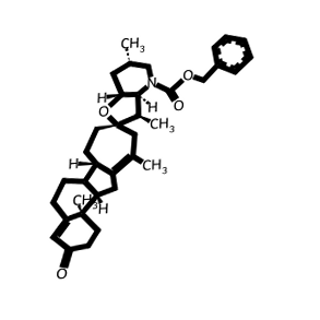 CC1=C2C[C@H]3C(CCC4=CC(=O)CC[C@@]43C)[C@@H]2CC[C@@]2(C1)O[C@@H]1C[C@H](C)CN(C(=O)OCc3ccccc3)[C@H]1[C@H]2C